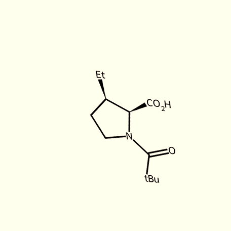 CC[C@@H]1CCN(C(=O)C(C)(C)C)[C@@H]1C(=O)O